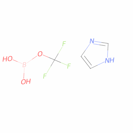 OB(O)OC(F)(F)F.c1c[nH]cn1